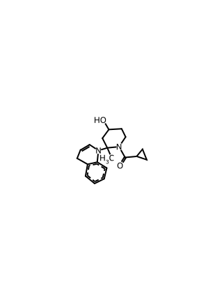 CC1(N2C=CCc3ccccc32)CC(O)CCN1C(=O)C1CC1